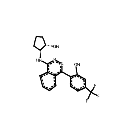 Oc1cc(C(F)(F)F)ccc1-c1nnc(N[C@H]2CCC[C@@H]2O)c2ccccc12